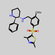 COc1ccc(S(=O)(=O)c2sc(C)nc2C)cc1CN[C@H]1CCCN[C@@H]1c1ccccc1